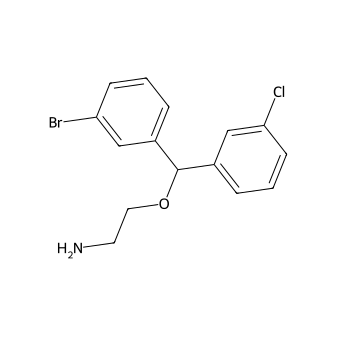 NCCOC(c1cccc(Cl)c1)c1cccc(Br)c1